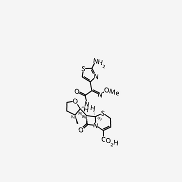 CON=C(C(=O)N[C@@]1([C@@H]2C(=O)N3C(C(=O)O)=CCS[C@H]23)OCC[C@@H]1C)c1csc(N)n1